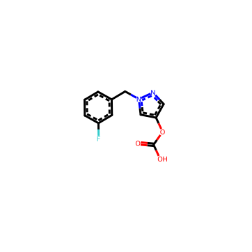 O=C(O)Oc1cnn(Cc2cccc(F)c2)c1